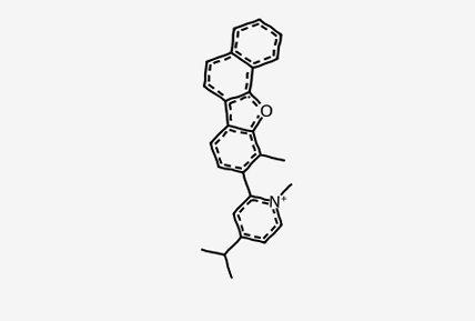 Cc1c(-c2cc(C(C)C)cc[n+]2C)ccc2c1oc1c3ccccc3ccc21